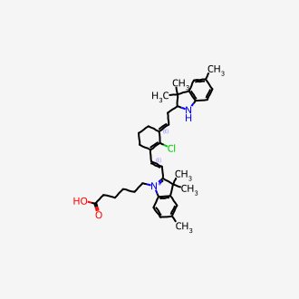 Cc1ccc2c(c1)C(C)(C)C(/C=C/C1=C(Cl)C(=C/CC3Nc4ccc(C)cc4C3(C)C)/CCC1)=[N+]2CCCCCC(=O)O